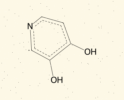 Oc1[c]nccc1O